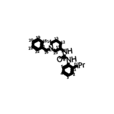 CC(C)c1ccccc1NC(=O)NC1CCCN(Cc2ccccc2)C1